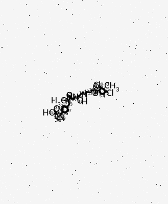 Cc1c(Cl)ccc(S(=O)(=O)C=CCNCC(=O)NCC(=O)N(C)Cc2ccc(C3=NCCN3C(=O)O)cc2)c1Cl